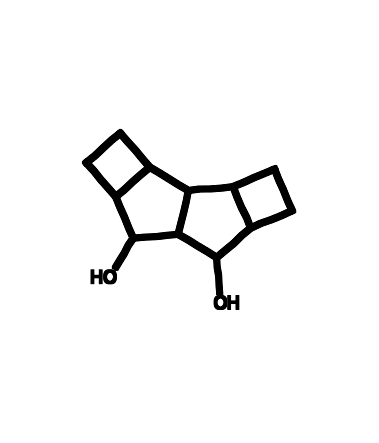 OC1C2CCC2C2C3CCC3C(O)C12